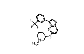 CN1CCCC(Oc2ccc3ncc(-c4cccc(C(F)(F)F)c4)n3n2)C1